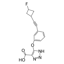 O=C(O)c1nn[nH]c1Oc1cccc(C#CC2CC(F)C2)c1